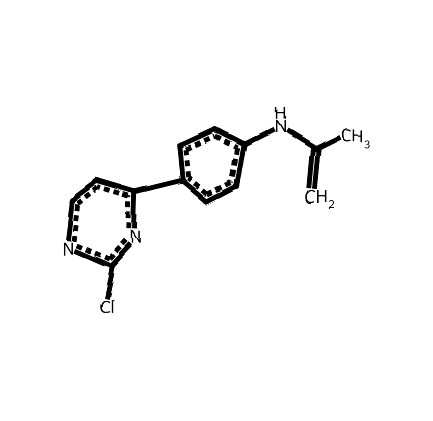 C=C(C)Nc1ccc(-c2ccnc(Cl)n2)cc1